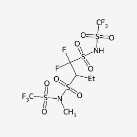 CCC(C(F)(F)S(=O)(=O)NS(=O)(=O)C(F)(F)F)S(=O)(=O)N(C)S(=O)(=O)C(F)(F)F